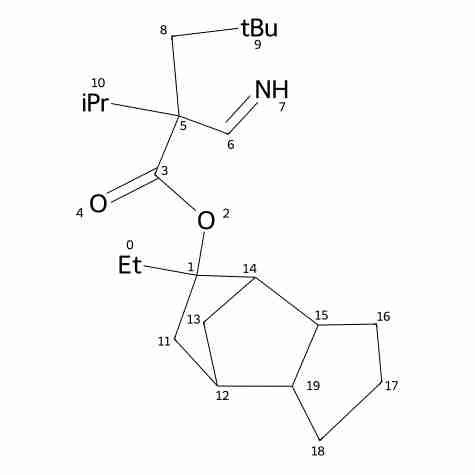 CCC1(OC(=O)C(C=N)(CC(C)(C)C)C(C)C)CC2CC1C1CCCC21